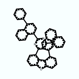 c1ccc(-c2nc(-c3ccc(-c4ccccc4)c4ccccc34)nc(-c3cccc4oc5cccc(-c6ccc7ccccc7c6)c5c34)n2)cc1